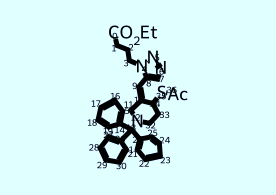 CCOC(=O)CCCn1nncc1C=C1CN(C(c2ccccc2)(c2ccccc2)c2ccccc2)CCC1SC(C)=O